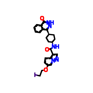 O=C(N[C@H]1CC[C@H](c2n[nH]c(=O)c3ccccc32)CC1)c1cnn2cc(OCCI)ccc12